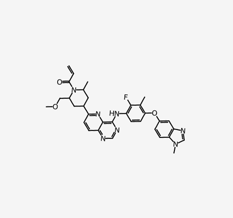 C=CC(=O)N1C(C)CC(c2ccc3ncnc(Nc4ccc(Oc5ccc6c(c5)ncn6C)c(C)c4F)c3n2)CC1COC